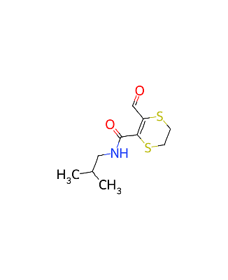 CC(C)CNC(=O)C1=C(C=O)SCCS1